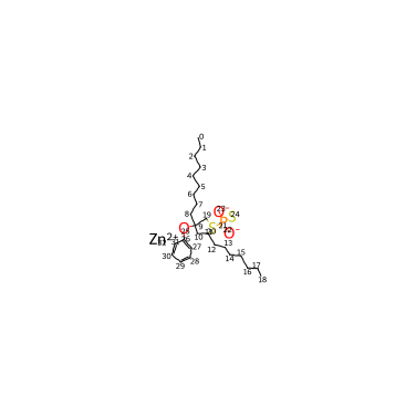 CCCCCCCCCC(CCCCCCCCC)(CSP([O-])([O-])=S)Oc1ccccc1.[Zn+2]